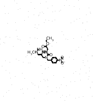 CCOC(=O)CNC(=O)N(C/C(N)=C/N(C)N)Cc1ccc([N+](=O)[O-])cc1